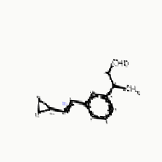 CC(CC=O)c1cccc(/C=C/C2CC2)c1